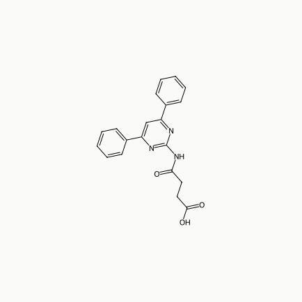 O=C(O)CCC(=O)Nc1nc(-c2ccccc2)cc(-c2ccccc2)n1